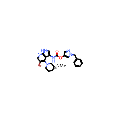 CN[C@@H]1CCCN(c2c(Br)cnc3[nH]cc(NC(=O)Oc4cnn(Cc5ccccc5)c4)c23)C1